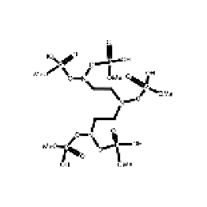 COP(=O)(O)ON(CCN(OP(=O)(O)OC)OP(=O)(O)OC)CCN(OP(=O)(O)OC)OP(=O)(O)OC